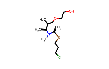 C=C(SCCCCl)N(C)C(=C)C(C)COCCO